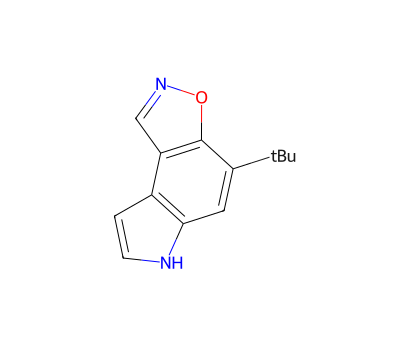 CC(C)(C)c1cc2[nH]ccc2c2cnoc12